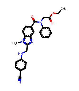 CCOC(=O)CN(C(=O)c1ccc2c(c1)nc(CNc1ccc(C#N)cc1)n2C)c1ccccc1